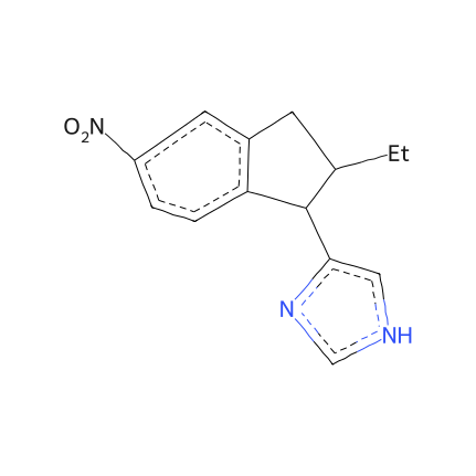 CCC1Cc2cc([N+](=O)[O-])ccc2C1c1c[nH]cn1